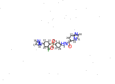 O=C(NCc1ccc(S(=O)(=O)c2ccc(-n3cccn3)cc2F)cc1)c1ccc2nccn2c1